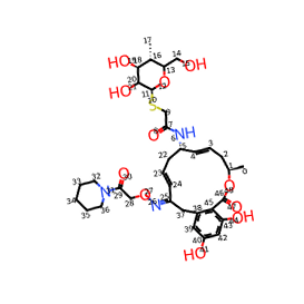 C[C@@H]1C/C=C/[C@@H](NC(=O)CS[C@@H]2OC(CO)[C@@H](C)[C@H](O)C2O)C/C=C/C(=N\OCC(=O)N2CCCCC2)Cc2cc(O)cc(O)c2C(=O)O1